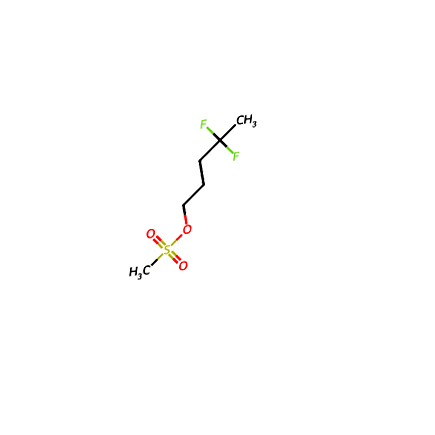 CC(F)(F)CCCOS(C)(=O)=O